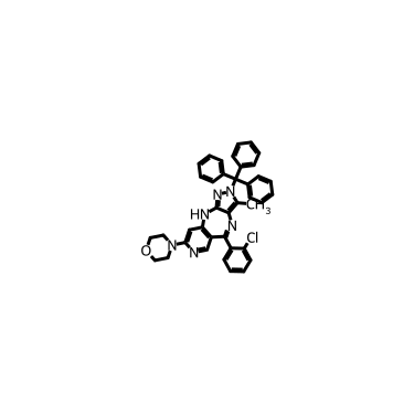 Cc1c2c(nn1C(c1ccccc1)(c1ccccc1)c1ccccc1)Nc1cc(N3CCOCC3)ncc1C(c1ccccc1Cl)=N2